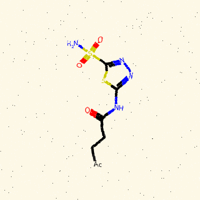 CC(=O)CCC(=O)Nc1nnc(S(N)(=O)=O)s1